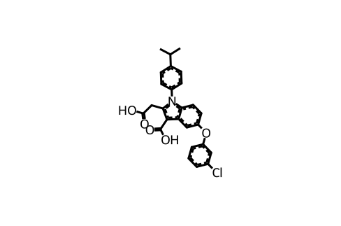 CC(C)c1ccc(-n2c(CC(=O)O)c(C(=O)O)c3cc(Oc4cccc(Cl)c4)ccc32)cc1